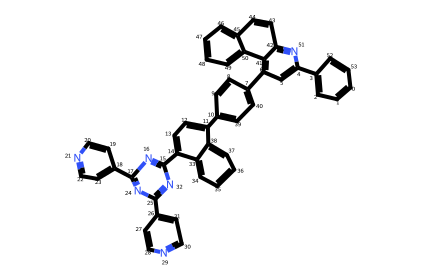 c1ccc(-c2cc(-c3ccc(-c4ccc(-c5nc(-c6ccncc6)nc(-c6ccncc6)n5)c5ccccc45)cc3)c3c(ccc4ccccc43)n2)cc1